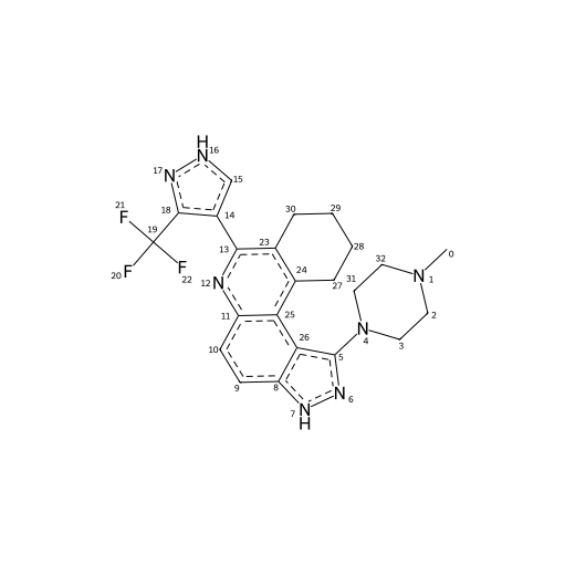 CN1CCN(c2n[nH]c3ccc4nc(-c5c[nH]nc5C(F)(F)F)c5c(c4c23)CCCC5)CC1